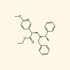 CCOC(=O)[C@H](CN(Cc1ccccc1)[C@H](C)c1ccccc1)c1ccc(OC)nc1